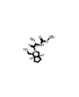 CC(C)(C)OC(=O)N[C@H](C(=O)N1C[C@@H]2CCC[C@@H]2C1CO)C(C)(C)C